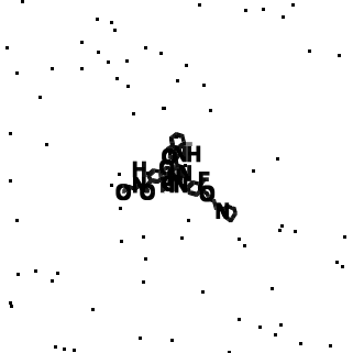 COCCNC(=O)c1ccc(Oc2nc(Nc3ccc(OCCCN4CCCCC4)c(F)c3)ncc2C(=O)Nc2c(C)cccc2C)c(Cl)c1